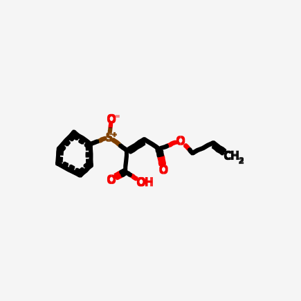 C=CCOC(=O)/C=C(\C(=O)O)[S+]([O-])c1ccccc1